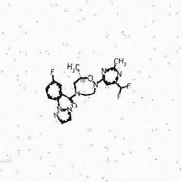 Cc1nc(C(F)F)cc(N2CCN(C(=O)c3cc(F)ccc3-n3nccn3)C[C@H](C)O2)n1